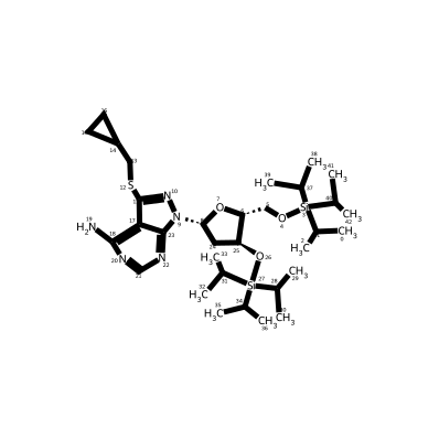 CC(C)[Si](OC[C@H]1O[C@@H](n2nc(SCC3CC3)c3c(N)ncnc32)C[C@@H]1O[Si](C(C)C)(C(C)C)C(C)C)(C(C)C)C(C)C